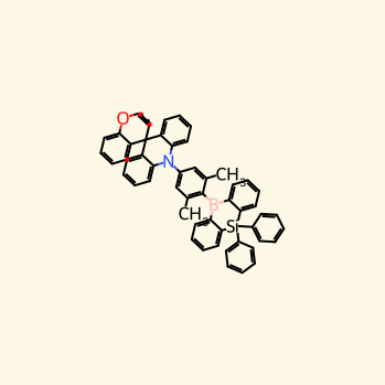 Cc1cc(N2c3ccccc3C3(c4ccccc4Oc4ccccc43)c3ccccc32)cc(C)c1B1c2ccccc2[Si](c2ccccc2)(c2ccccc2)c2ccccc21